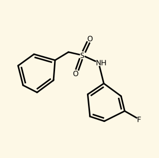 O=S(=O)(Cc1ccccc1)Nc1cccc(F)c1